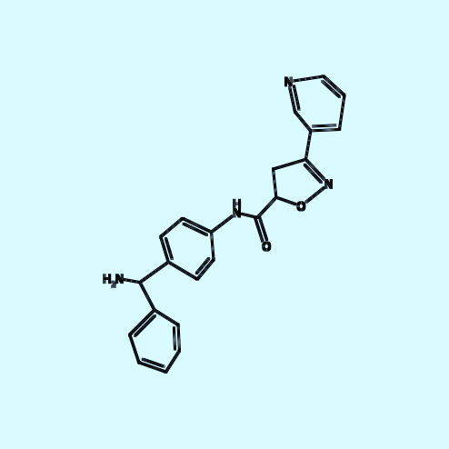 NC(c1ccccc1)c1ccc(NC(=O)C2CC(c3cccnc3)=NO2)cc1